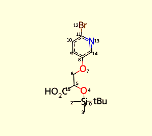 CC(C)(C)[Si](C)(C)OC(COc1ccc(Br)nc1)C(=O)O